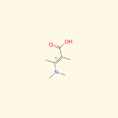 C/C(C(=O)O)=C(/C)N(C)C